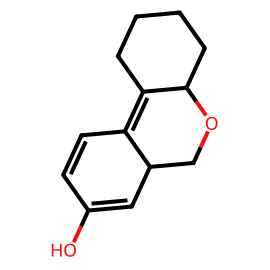 OC1=CC2COC3CCCCC3=C2C=C1